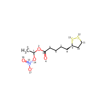 CC(OC(=O)CCCC[C@@H]1CCSS1)O[N+](=O)[O-]